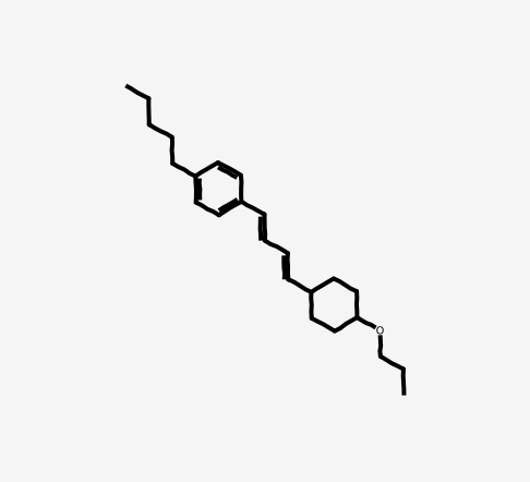 CCCCCc1ccc(C=CC=CC2CCC(OCCC)CC2)cc1